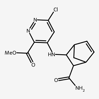 COC(=O)c1nnc(Cl)cc1NC1C2C=CC(C2)C1C(N)=O